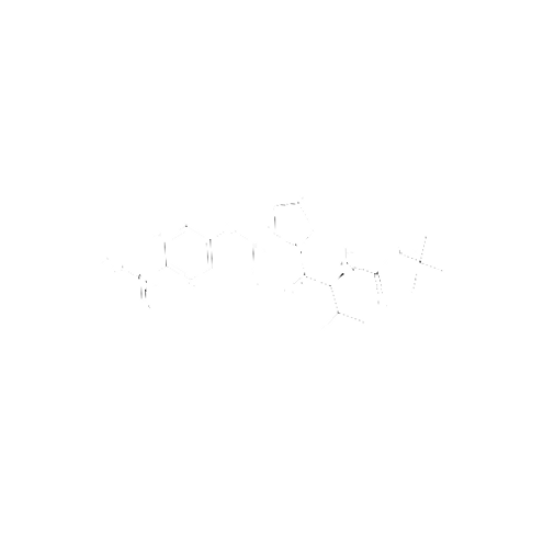 CC(C)[C@H](NC(=O)OC(C)(C)C)C(=O)N1CCC[C@H]1C(=O)Oc1ccc([N+](=O)[O-])cc1